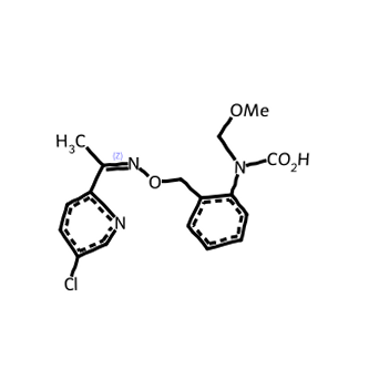 COCN(C(=O)O)c1ccccc1CO/N=C(/C)c1ccc(Cl)cn1